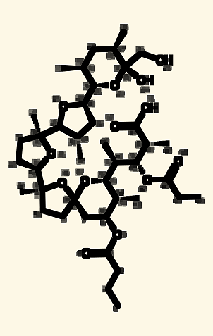 CCCC(=O)O[C@H]1C[C@]2(CC[C@@](C)([C@H]3CC[C@@](C)(C4O[C@@H]([C@H]5O[C@@](O)(CO)[C@H](C)C[C@@H]5C)C[C@@H]4C)O3)O2)O[C@H]([C@@H](C)[C@@H](OC(=O)CC)[C@@H](C)C(=O)O)[C@@H]1C